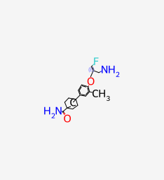 Cc1cc(C23CCC(C(N)=O)(CC2)CC3)ccc1OC/C(=C/F)CN